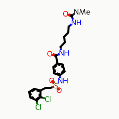 CNC(=O)NCCCCCNC(=O)c1ccc(NS(=O)(=O)CCc2cccc(Cl)c2Cl)cc1